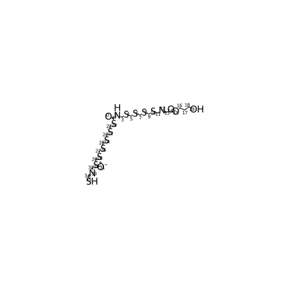 O=C(NCSCSCSCSC/N=C/OOCCCO)SCSCSCSCSC[S+]([O-])/C=N/CS